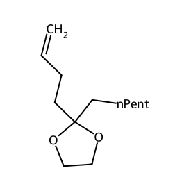 C=CCCC1(CCCCCC)OCCO1